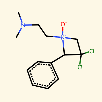 CN(C)CC[N+]1([O-])CC(Cl)(Cl)C1c1ccccc1